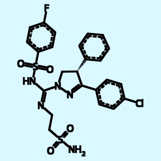 NS(=O)(=O)CC/N=C(/NS(=O)(=O)c1ccc(F)cc1)N1C[C@H](c2ccccc2)C(c2ccc(Cl)cc2)=N1